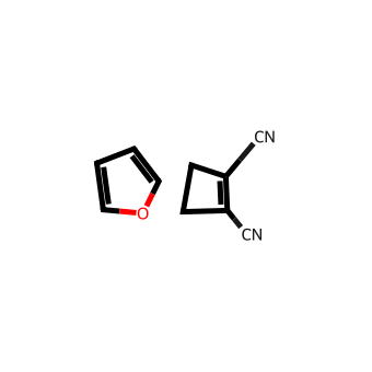 N#CC1=C(C#N)CC1.c1ccoc1